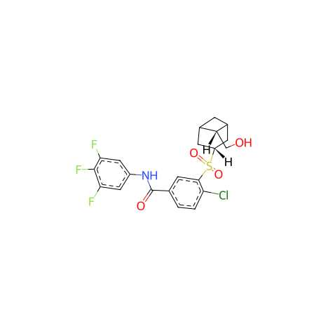 O=C(Nc1cc(F)c(F)c(F)c1)c1ccc(Cl)c(S(=O)(=O)[C@H]2CC3CC(C2)[C@H]3CO)c1